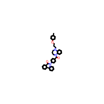 Cc1ccc(OCCCN2CCCN(C(=O)c3ccc(NC(=O)c4ccccc4-c4ccccc4)cc3)c3ccccc32)cc1